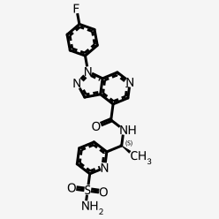 C[C@H](NC(=O)c1cncc2c1cnn2-c1ccc(F)cc1)c1cccc(S(N)(=O)=O)n1